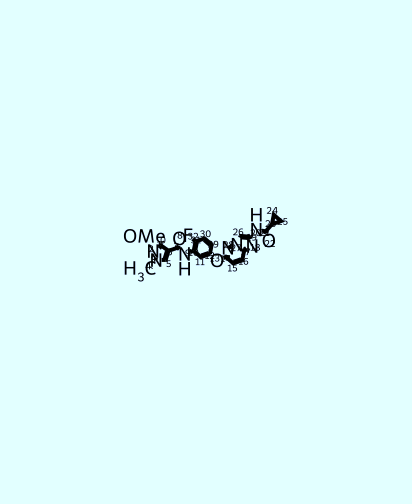 COc1nn(C)cc1C(=O)Nc1cc(Oc2ccc3nc(NC(=O)C4CC4)cn3n2)ccc1F